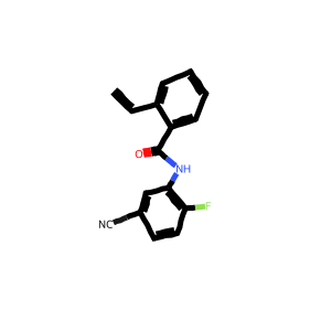 C=Cc1ccccc1C(=O)Nc1cc(C#N)ccc1F